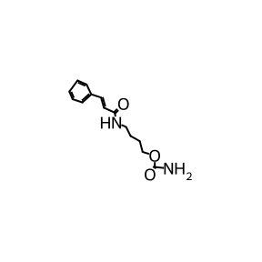 NC(=O)OCCCCNC(=O)C=Cc1ccccc1